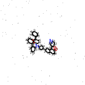 c1ccc(-c2ccc(N(c3ccc(-c4ccc5ccc6oc7ccncc7c6c5c4)cc3)c3ccccc3-c3ccccc3)cc2)cc1